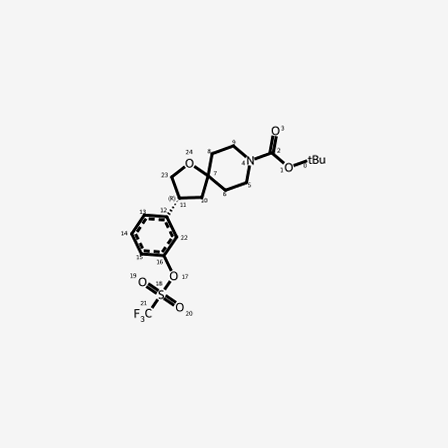 CC(C)(C)OC(=O)N1CCC2(CC1)C[C@H](c1cccc(OS(=O)(=O)C(F)(F)F)c1)CO2